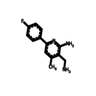 Cc1cc(-c2ccc(F)cc2)nc(N)c1CN